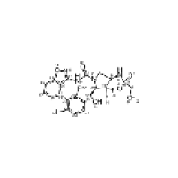 CCS(=O)(=O)N[C@@H]1CN(C(=O)Nc2noc3cccc(-c4c(F)cccc4F)c23)[C@H](CO)C1(F)F